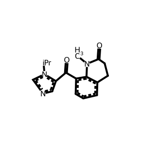 CC(C)n1cncc1C(=O)c1cccc2c1N(C)C(=O)CC2